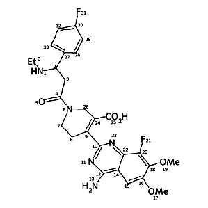 CCNC(CC(=O)N1CCC(c2nc(N)c3cc(OC)c(OC)c(F)c3n2)=C(C(=O)O)C1)c1ccc(F)cc1